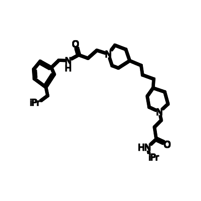 CC(C)Cc1cccc(CNC(=O)CCN2CCC(CCCC3CCN(CCC(=O)NC(C)C)CC3)CC2)c1